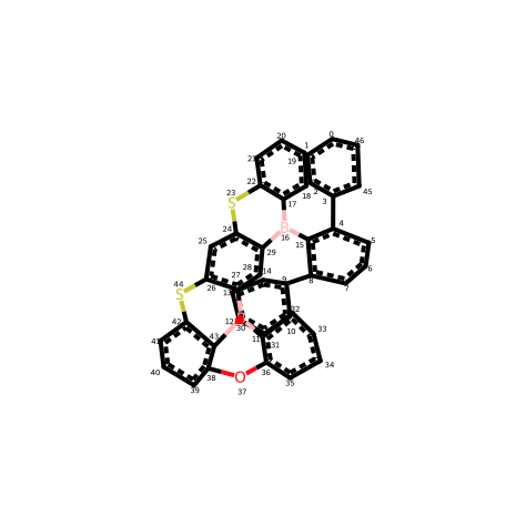 c1ccc(-c2cccc(-c3ccccc3)c2B2c3ccccc3Sc3cc4c(cc32)B2c3ccccc3Oc3cccc(c32)S4)cc1